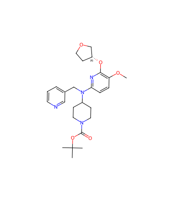 COc1ccc(N(Cc2cccnc2)C2CCN(C(=O)OC(C)(C)C)CC2)nc1O[C@@H]1CCOC1